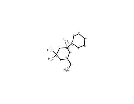 CC[C@H]1CC(C)(C)C[C@@](C)(N2CCCCC2)C1